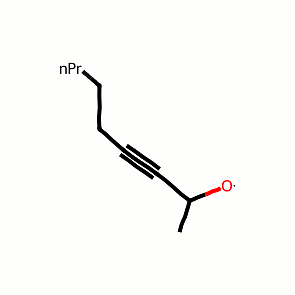 CCCCCC#CC(C)[O]